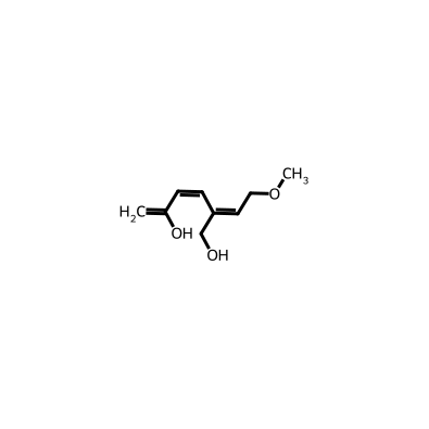 C=C(O)/C=C\C(=C/COC)CO